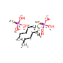 CCCCC.CCCCC.OP(O)(O)=S.OP(O)(O)=S